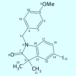 COc1ccc(CN2C(=O)C(C)(C)c3cc(I)ccc32)cc1